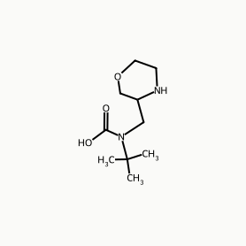 CC(C)(C)N(CC1COCCN1)C(=O)O